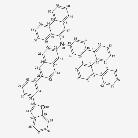 c1ccc(-c2ccccc2-c2ccccc2-c2ccc(N(c3ccc4cc(-c5cccc(-c6cc7ccccc7o6)c5)ccc4c3)c3cc4ccccc4c4ccccc34)cc2)cc1